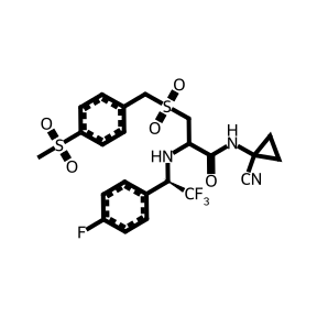 CS(=O)(=O)c1ccc(CS(=O)(=O)CC(N[C@H](c2ccc(F)cc2)C(F)(F)F)C(=O)NC2(C#N)CC2)cc1